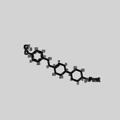 CCCCCC1CCC(C2CC=C(CCc3ccc(OC(F)(F)F)cc3)CC2)CC1